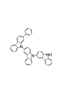 c1ccc(-c2ccc3c4ccccc4n(-c4ccc5c(c4)c4ccccc4n5-c4ccc5[nH]c6ccccc6c5c4)c3c2)cc1